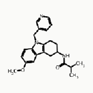 COc1ccc2c(c1)c1c(n2Cc2cccnc2)CCC(NC(=O)C(C)C)C1